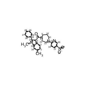 Cc1ccc2c(C(=O)N3CCCN(c4ccc([N+](=O)[O-])cn4)CC3)c(-c3ccccc3)n(C)c2c1